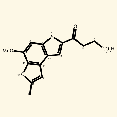 COc1cc2sc(C(=O)CCC(=O)O)cc2c2cc(C)oc12